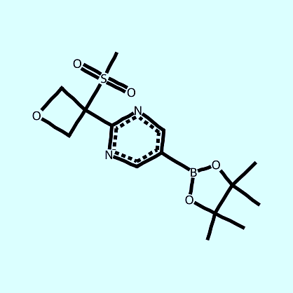 CC1(C)OB(c2cnc(C3(S(C)(=O)=O)COC3)nc2)OC1(C)C